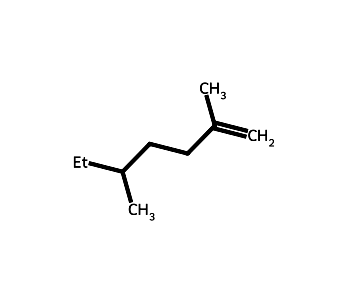 C=C(C)CCC(C)CC